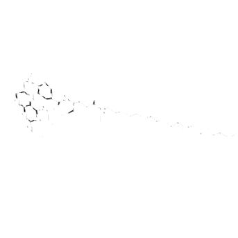 CSCCOCCOCCOCCOCCOCCNC(=O)CCC(NC(=O)c1ccc(N(C)Cc2cnc3nc(N)nc(N)c3n2)cc1)C(=O)O